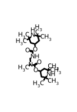 CN(CNC(=O)OC1CC(C)(C)NC(C)(C)C1)C(=O)OC1CC(C)(C)NC(C)(C)C1